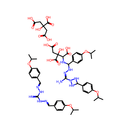 CC(C)Oc1ccc(C(NN=C(N)N2NC(c3ccc(OC(C)C)cc3)N2)NC(C(=O)O)C(O)(CC(=O)O)C(=O)O)cc1.CC(C)Oc1ccc(C=NNC(=N)NN=Cc2ccc(OC(C)C)cc2)cc1.O=C(O)CC(O)(CC(=O)O)C(=O)O